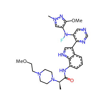 COCCN1CCN([C@H](C)C(=O)Nc2cccc3c(-c4ncncc4N(F)c4cn(C)nc4OC)c[nH]c23)CC1